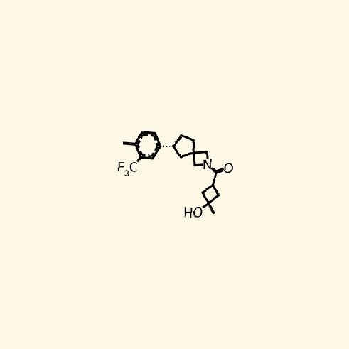 Cc1ccc([C@@H]2CCC3(C2)CN(C(=O)C2CC(C)(O)C2)C3)cc1C(F)(F)F